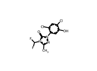 Cc1nn(-c2cc(O)c(Cl)cc2Cl)c(=O)n1C(F)F